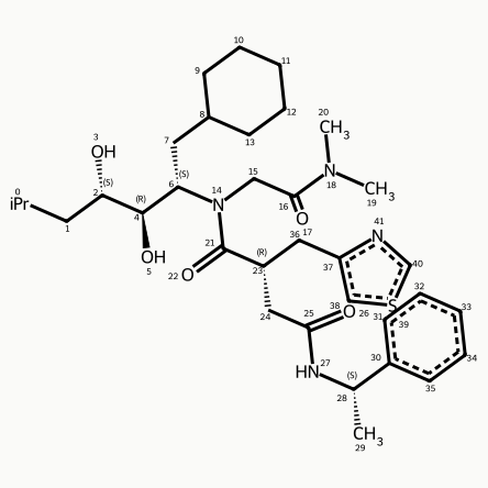 CC(C)C[C@H](O)[C@H](O)[C@H](CC1CCCCC1)N(CC(=O)N(C)C)C(=O)[C@@H](CC(=O)N[C@@H](C)c1ccccc1)Cc1cscn1